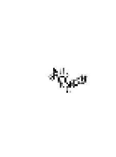 CN1CC2CN(C(=O)c3ccc([S+](N)[O-])cn3)CC2C1